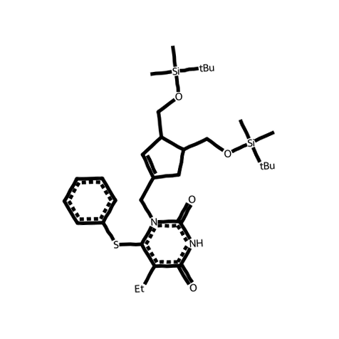 CCc1c(Sc2ccccc2)n(CC2=CC(CO[Si](C)(C)C(C)(C)C)C(CO[Si](C)(C)C(C)(C)C)C2)c(=O)[nH]c1=O